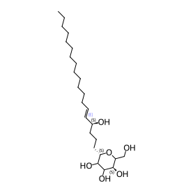 CCCCCCCCCCCCC/C=C/[C@@H](O)CCC[C@@H]1OC(CO)[C@@H](O)C(O)C1O